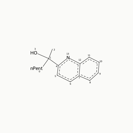 CCCCCC(C)(O)c1ccc2ccccc2n1